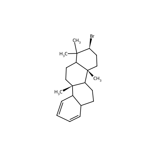 CC1(C)C2CC[C@@]3(C)C4C=CC=CC4CCC3[C@@]2(C)CC[C@@H]1Br